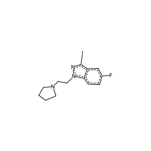 Fc1ccc2c(c1)c(I)nn2CCN1CCCC1